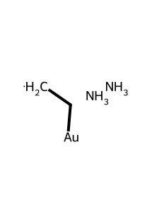 N.N.[CH2][CH2][Au]